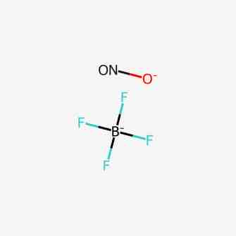 F[B-](F)(F)F.O=[NH+][O-]